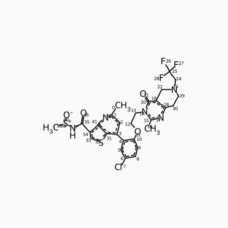 Cc1cc(-c2cc(Cl)ccc2OCCn2c(C)nc3c(c2=O)CN(CC(F)(F)F)CC3)c2scc(C(=O)N[S+](C)[O-])c2n1